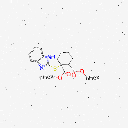 CCCCCCOC(=O)C1CCCCC1(Sc1nc2ccccc2[nH]1)C(=O)OCCCCCC